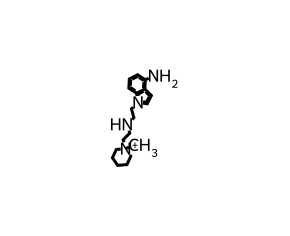 C[N+]1(CCNCCn2ccc3c(N)cccc32)CCCCC1